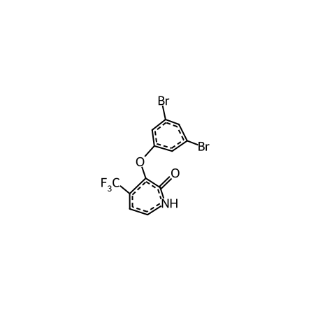 O=c1[nH]ccc(C(F)(F)F)c1Oc1cc(Br)cc(Br)c1